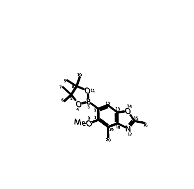 COc1c(B2OC(C)(C)C(C)(C)O2)cc2oc(C)nc2c1C